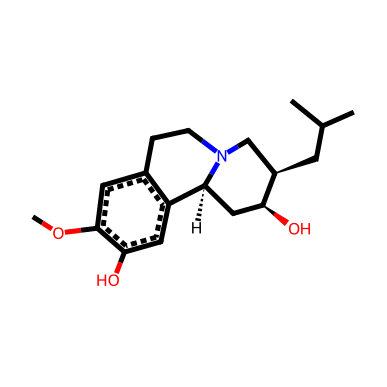 COc1cc2c(cc1O)[C@@H]1C[C@H](O)[C@H](CC(C)C)CN1CC2